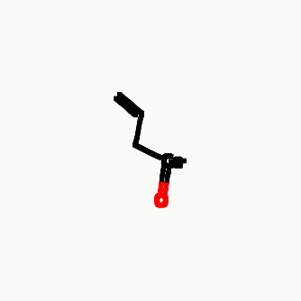 C=C[CH2][Ge]=[O]